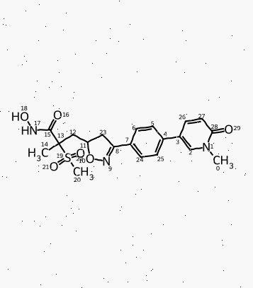 Cn1cc(-c2ccc(C3=NOC(CC(C)(C(=O)NO)S(C)(=O)=O)C3)cc2)ccc1=O